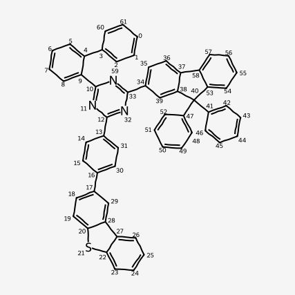 c1ccc(-c2ccccc2-c2nc(-c3ccc(-c4ccc5sc6ccccc6c5c4)cc3)nc(-c3ccc4c(c3)C(c3ccccc3)(c3ccccc3)c3ccccc3-4)n2)cc1